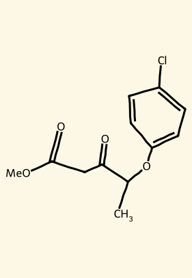 COC(=O)CC(=O)C(C)Oc1ccc(Cl)cc1